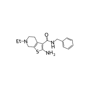 CCN1CCc2c(sc(N)c2C(=O)NCc2ccccc2)C1